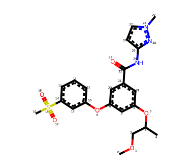 COCC(C)Oc1cc(Oc2cccc(S(C)(=O)=O)c2)cc(C(=O)Nc2ccn(C)n2)c1